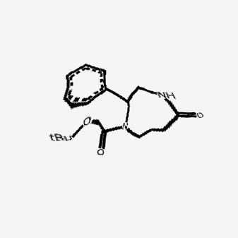 CC(C)(C)OC(=O)N1CCC(=O)NCC1c1ccccc1